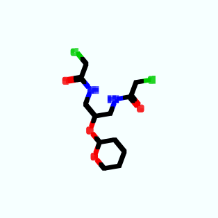 O=C(CCl)NCC(CNC(=O)CCl)OC1CCCCO1